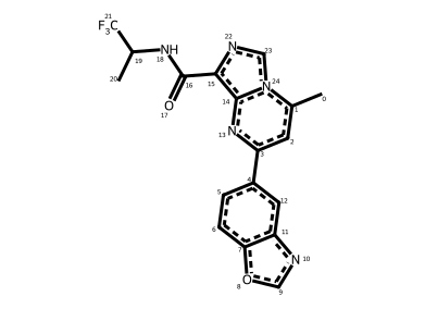 Cc1cc(-c2ccc3ocnc3c2)nc2c(C(=O)NC(C)C(F)(F)F)ncn12